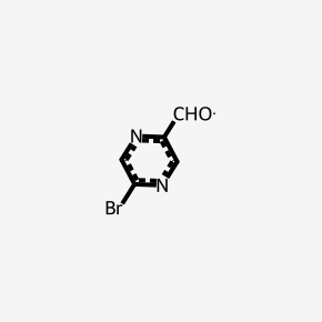 O=[C]c1cnc(Br)cn1